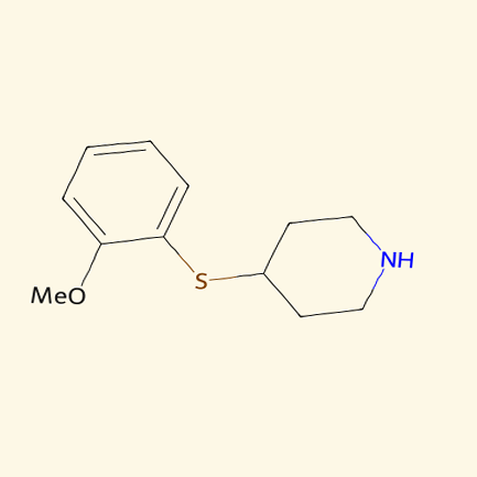 COc1ccccc1SC1CCNCC1